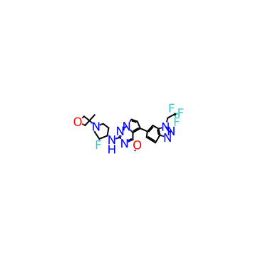 COc1nc(N[C@H]2CCN(C3(C)COC3)C[C@H]2F)nn2ccc(-c3ccc4nnn(CC(F)(F)F)c4c3)c12